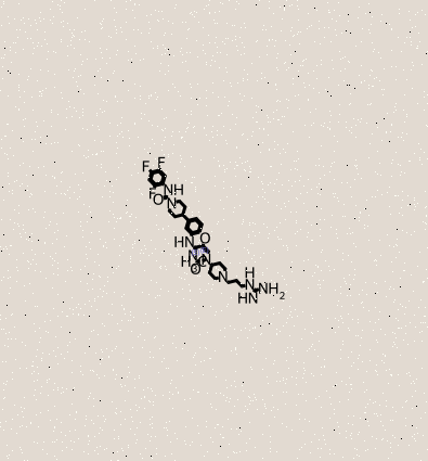 CN(/C=C1/Oc2ccc(C3CCN(C(=O)Nc4cc(F)c(F)cc4F)CC3)cc2N/C1=N/C=O)C1CCN(CCCNC(=N)N)CC1